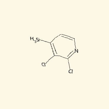 [SiH3]c1ccnc(Cl)c1Cl